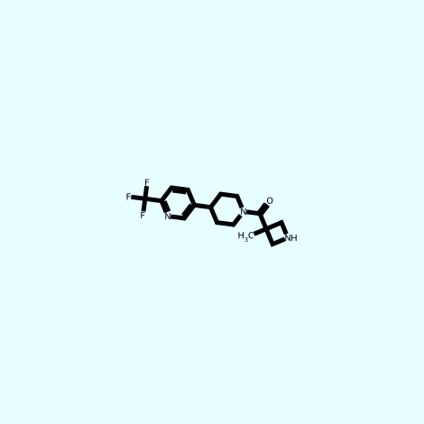 CC1(C(=O)N2CCC(c3ccc(C(F)(F)F)nc3)CC2)CNC1